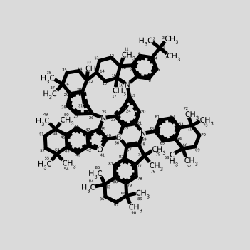 CC(C)(C)c1ccc2c(c1)C1(C)CCC3CC1(C)N2c1cc2c4c(c1)N(c1ccc5c(c1)C3(C)CCC5(C)C)c1c(oc3cc5c(cc13)C(C)(C)CCC5(C)C)B4C1=C(N2c2ccc3c(c2)C(C)(C)CCC3(C)C)C(C)(C)c2cc3c(cc21)C(C)(C)CCC3(C)C